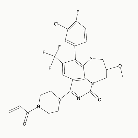 C=CC(=O)N1CCN(c2nc(=O)n3c4c(c(-c5ccc(F)c(Cl)c5)c(C(F)(F)F)cc24)SCC(OC)C3)CC1